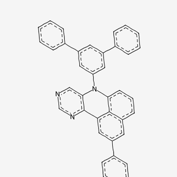 c1ccc(-c2cc(-c3ccccc3)cc(N3c4cncnc4-c4cc(-c5ccccc5)cc5cccc3c45)c2)cc1